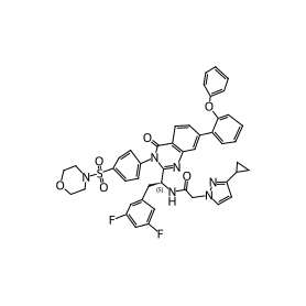 O=C(Cn1ccc(C2CC2)n1)N[C@@H](Cc1cc(F)cc(F)c1)c1nc2cc(-c3ccccc3Oc3ccccc3)ccc2c(=O)n1-c1ccc(S(=O)(=O)N2CCOCC2)cc1